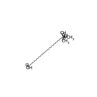 CCO[Si](CCCCCCCCCCCCCCCCCCCCCCCCCCCCCCCCC(=O)O)(OCC)OCC